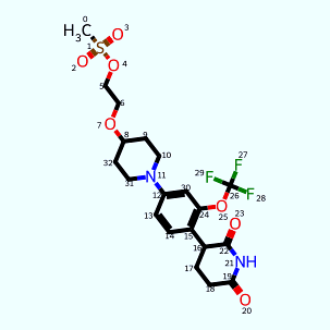 CS(=O)(=O)OCCOC1CCN(c2ccc(C3CCC(=O)NC3=O)c(OC(F)(F)F)c2)CC1